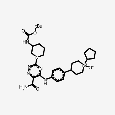 CC(C)(C)OC(=O)NC1CCCN(c2nnc(C(N)=O)c(Nc3ccc(C4CC[N+]([O-])(C5CCCC5)CC4)cc3)n2)C1